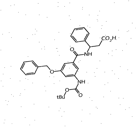 CC(C)(C)OC(=O)Nc1cc(OCc2ccccc2)cc(C(=O)NC(CC(=O)O)c2ccccc2)c1